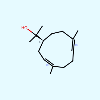 C/C1=C/C[C@@H](C(C)(C)O)CC/C(C)=C\CC1